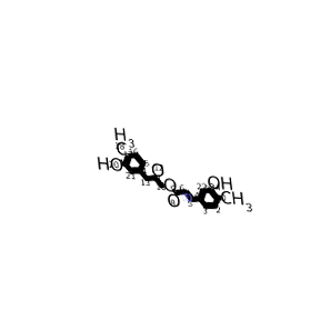 Cc1ccc(/C=C/C(=O)OCC(=O)Cc2ccc(C)c(O)c2)cc1O